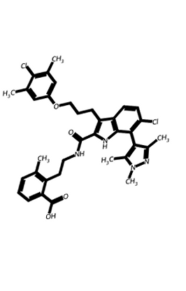 Cc1cc(OCCCc2c(C(=O)NCCc3c(C)cccc3C(=O)O)[nH]c3c(-c4c(C)nn(C)c4C)c(Cl)ccc23)cc(C)c1Cl